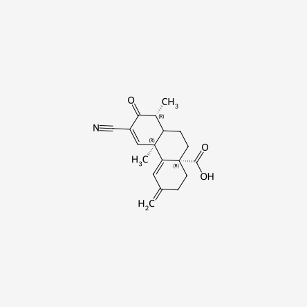 C=C1C=C2[C@](C(=O)O)(CC1)CCC1[C@@H](C)C(=O)C(C#N)=C[C@]21C